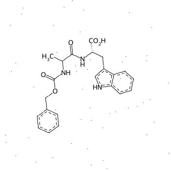 CC(NC(=O)OCc1ccccc1)C(=O)N[C@@H](Cc1c[nH]c2ccccc12)C(=O)O